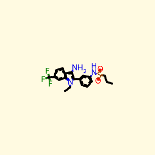 CCCS(=O)(=O)Nc1cccc(-c2c(N)c3ccc(C(F)(F)F)cc3n2CC)c1